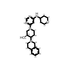 O[C@H]1CN(c2cc(NC3CCOCC3)ncn2)CCC1N1CCc2ccccc2C1